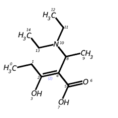 CC/C(O)=C(/C(=O)O)C(C)N(CC)CC